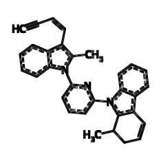 C#C/C=C\c1c(C)n(-c2cccc(-n3c4c(c5ccccc53)C=CCC4C)n2)c2ccccc12